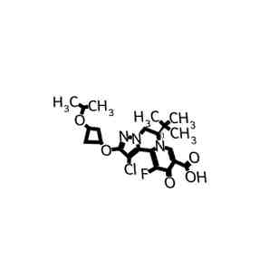 CC(C)OC1CC(Oc2nn3c(c2Cl)-c2c(F)c(=O)c(C(=O)O)cn2[C@H](C(C)(C)C)C3)C1